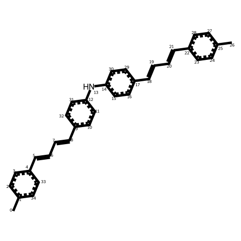 Cc1ccc(/C=C/C=C/c2ccc(Nc3ccc(/C=C/C=C/c4ccc(C)cc4)cc3)cc2)cc1